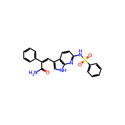 NC(=O)C(=Cc1c[nH]c2nc(NS(=O)(=O)c3ccccc3)ccc12)c1ccccc1